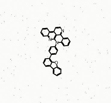 c1ccc2c(c1)-c1nccc3c1c(nc1ccccc13)N2c1ccc(-c2cccc3c2oc2ccccc23)cc1